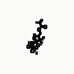 C=C(C)C(=O)OCC(F)C(F)(F)S(=O)(=O)NS(=O)(=O)C(F)(F)F